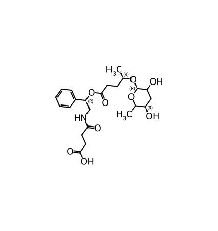 CC1O[C@@H](O[C@H](C)CCC(=O)O[C@@H](CNC(=O)CCC(=O)O)c2ccccc2)C(O)C[C@H]1O